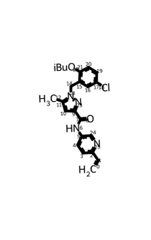 C=Cc1ccc(NC(=O)c2cc(C)n(Cc3cc(Cl)ccc3OCC(C)C)n2)cn1